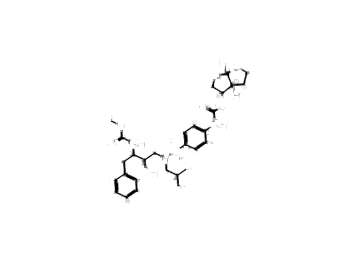 COC(=O)NC(Cc1ccccc1)C(O)CN(CC(C)C)S(=O)(=O)c1ccc(NC(=O)O[C@@H]2CO[C@@H]3OCC[C@@H]32)cc1